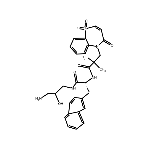 CC(C)(CN1C(=O)C=CS(=O)(=O)c2ccccc21)C(=O)N[C@H](Cc1ccc2ccccc2c1)C(=O)NCC(O)CN